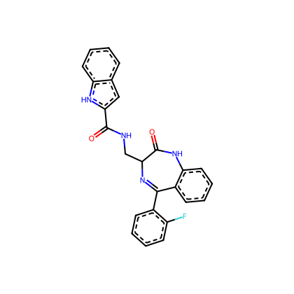 O=C(NCC1N=C(c2ccccc2F)c2ccccc2NC1=O)c1cc2ccccc2[nH]1